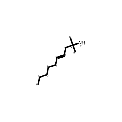 CCCCCC=CCC(C)(C)[NH]